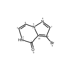 O=c1[nH]ccn2ncc(Br)c12